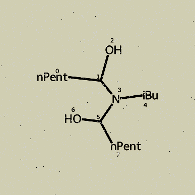 CCCCCC(O)N(C(C)CC)C(O)CCCCC